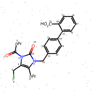 CCCC(=O)n1c(CF)c(CCC)n(Cc2ccc(-c3ccccc3C(=O)O)cc2)c1=O